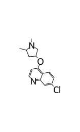 CC1CC(Oc2ccnc3cc(Cl)ccc23)CN1C